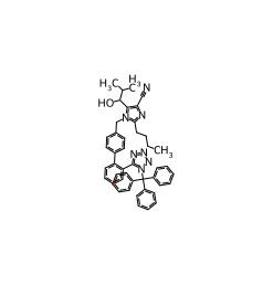 CCCCc1nc(C#N)c(C(O)C(C)C)n1Cc1ccc(-c2ccccc2-c2nnnn2C(c2ccccc2)(c2ccccc2)c2ccccc2)cc1